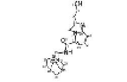 N#CCCC1CN2C(C(=O)NCC34CC5CC(CC(C5)C3)C4)=CC=CC2=N1